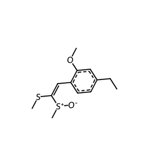 CCc1ccc(/C=C(/SC)[S+](C)[O-])c(OC)c1